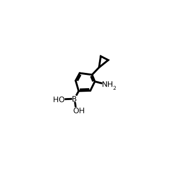 Nc1cc(B(O)O)ccc1C1CC1